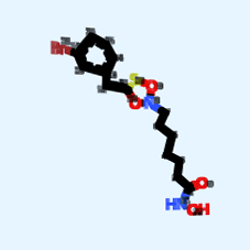 O=C(CCCCCCN1OS/C(=C\c2cccc(Br)c2)O1)NO